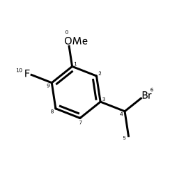 COc1cc(C(C)Br)ccc1F